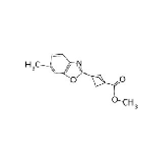 COC(=O)C12CC(c3nc4ccc(C)cc4o3)(C1)C2